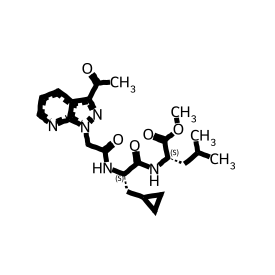 COC(=O)[C@H](CC(C)C)NC(=O)[C@H](CC1CC1)NC(=O)Cn1nc(C(C)=O)c2cccnc21